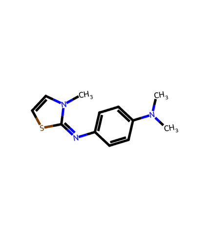 CN(C)c1ccc(N=c2sccn2C)cc1